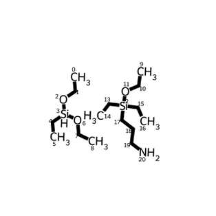 CCO[SiH](CC)OCC.CCO[Si](CC)(CC)CCCN